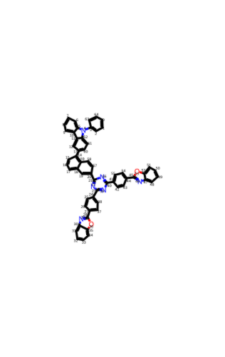 c1ccc(-n2c3ccccc3c3cc(-c4cccc5cc(-c6nc(-c7ccc(-c8nc9ccccc9o8)cc7)nc(-c7ccc(-c8nc9ccccc9o8)cc7)n6)ccc45)ccc32)cc1